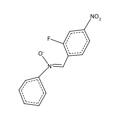 O=[N+]([O-])c1ccc(C=[N+]([O-])c2ccccc2)c(F)c1